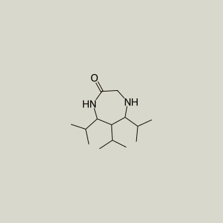 CC(C)C1NCC(=O)NC(C(C)C)C1C(C)C